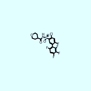 O=C(NS(=O)(=O)c1cc(-c2c(F)cc(F)c(F)c2F)c(F)cc1Cl)C1CCOCC1